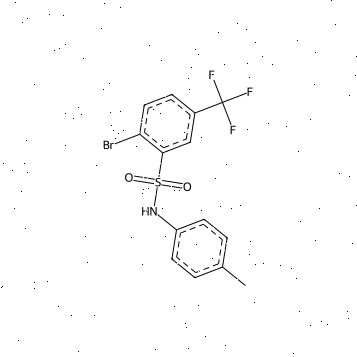 Cc1ccc(NS(=O)(=O)c2cc(C(F)(F)F)ccc2Br)cc1